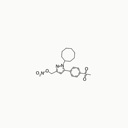 CS(=O)(=O)c1ccc(-c2cc(CO[N+](=O)[O-])nn2C2CCCCCCC2)cc1